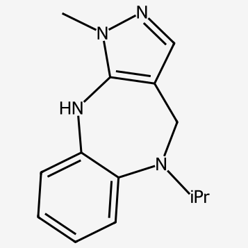 CC(C)N1Cc2cnn(C)c2Nc2ccccc21